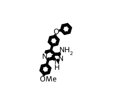 COc1ccc(-c2ncc(-c3ccc(Oc4ccccc4)cc3)c3c(N)n[nH]c23)cc1